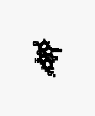 COc1ccc(Cl)cc1C1(CC#N)C(=O)Nc2cc(C(F)(F)F)ccc21